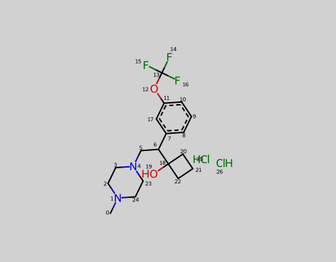 CN1CCN(CC(c2cccc(OC(F)(F)F)c2)C2(O)CCC2)CC1.Cl.Cl